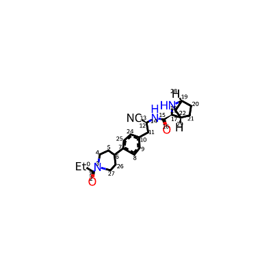 CCC(=O)N1CCC(c2ccc(C[C@@H](C#N)NC(=O)[C@H]3N[C@@H]4CC[C@H]3C4)cc2)CC1